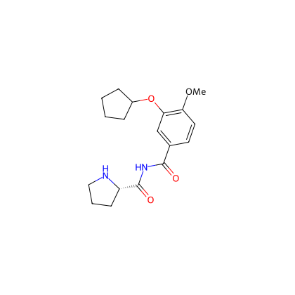 COc1ccc(C(=O)NC(=O)[C@@H]2CCCN2)cc1OC1CCCC1